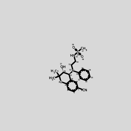 CC1(C)Oc2ccc(C#N)cc2[C@H](N(CCNS(C)(=O)=O)c2ccccc2)[C@H]1O